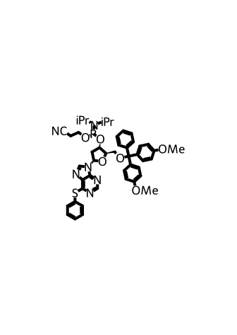 COc1ccc(C(OC[C@H]2O[C@@H](n3cnc4c(Sc5ccccc5)ncnc43)C[C@@H]2OP(OCCC#N)N(C(C)C)C(C)C)(c2ccccc2)c2ccc(OC)cc2)cc1